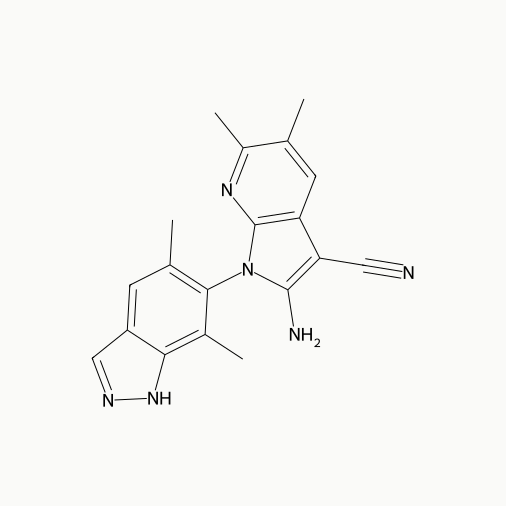 Cc1cc2c(C#N)c(N)n(-c3c(C)cc4cn[nH]c4c3C)c2nc1C